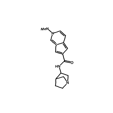 CNN1C=CC2=CC(C(=O)NC3CN4CCC3C4)=CS2=C1